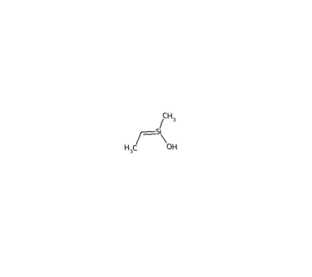 CC=[Si](C)O